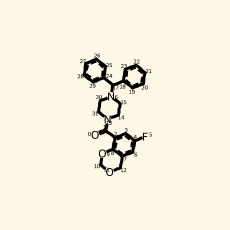 O=C(c1cc(F)cc2c1OCOC2)N1CCN(C(c2ccccc2)c2ccccc2)CC1